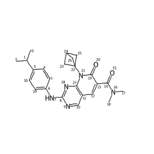 CC(C)c1ccc(Nc2ncc3cc(C(=O)N(C)C)c(=O)n(C45CC(C4)C5)c3n2)cc1